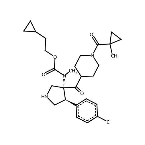 CN(C(=O)OCCC1CC1)[C@@]1(C(=O)C2CCN(C(=O)C3(C)CC3)CC2)CNC[C@@H]1c1ccc(Cl)cc1